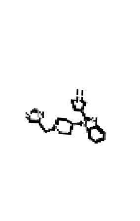 c1ccc2c(c1)nc(C1CCNC1)n2C1CCN(Cc2cscn2)CC1